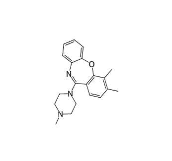 Cc1ccc2c(c1C)Oc1ccccc1N=C2N1CCN(C)CC1